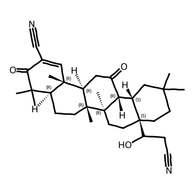 CC1(C)CC[C@]2(C(O)CC#N)CC[C@]3(C)[C@H](C(=O)C[C@@H]4[C@@]5(C)C=C(C#N)C(=O)C(C)(C)[C@@H]5CC[C@]43C)[C@@H]2C1